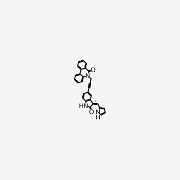 O=C1Nc2ccc(C#CCn3c(=O)c4ccccc4c4ccccc43)cc2/C1=C/c1ccc[nH]1